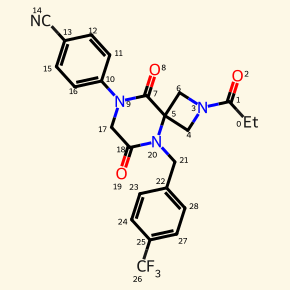 CCC(=O)N1CC2(C1)C(=O)N(c1ccc(C#N)cc1)CC(=O)N2Cc1ccc(C(F)(F)F)cc1